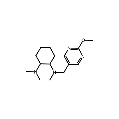 COc1ncc(CN(C)C2CCCCC2N(C)C)cn1